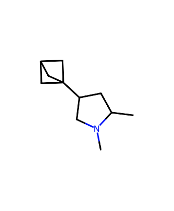 CC1CC(C23CC(C2)C3)CN1C